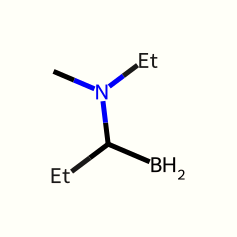 BC(CC)N(C)CC